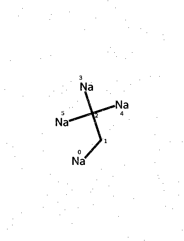 [Na][CH2][C]([Na])([Na])[Na]